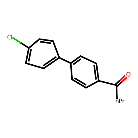 CCCC(=O)c1ccc(-c2ccc(Cl)cc2)cc1